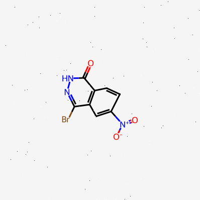 O=c1[nH]nc(Br)c2cc([N+](=O)[O-])ccc12